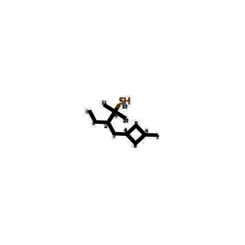 CCC(CC1CC(C)C1)C(C)(C)S